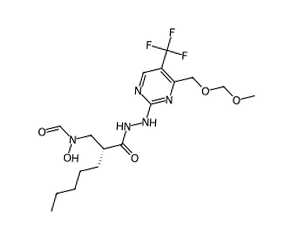 CCCCC[C@H](CN(O)C=O)C(=O)NNc1ncc(C(F)(F)F)c(COCOC)n1